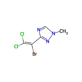 Cn1cnc(C(Br)=C(Cl)Cl)n1